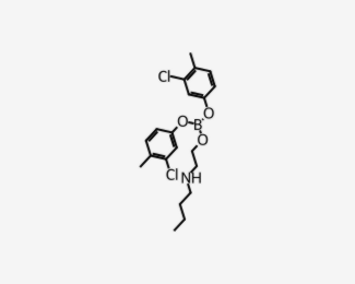 CCCCNCCOB(Oc1ccc(C)c(Cl)c1)Oc1ccc(C)c(Cl)c1